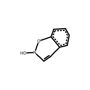 ON1C=Cc2ccccc2O1